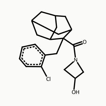 O=C(N1CC(O)C1)C1(Cc2ccccc2Cl)C2CC3CC(C2)CC1C3